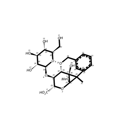 CO[C@@]12O[C@H](C(=O)O)[C@@H](O[C@@H]3O[C@H](CO)[C@@H](O)[C@H](O)[C@H]3O)[C@H](OCc3ccccc3)[C@]1(O)C2(C)C